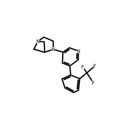 FC(F)(F)c1ccccc1-c1cncc(N2CCN3CC2C3)c1